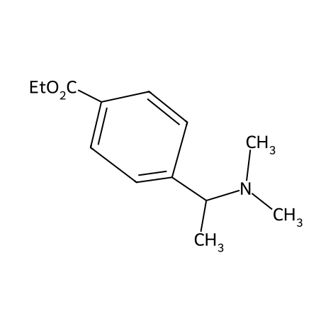 CCOC(=O)c1ccc(C(C)N(C)C)cc1